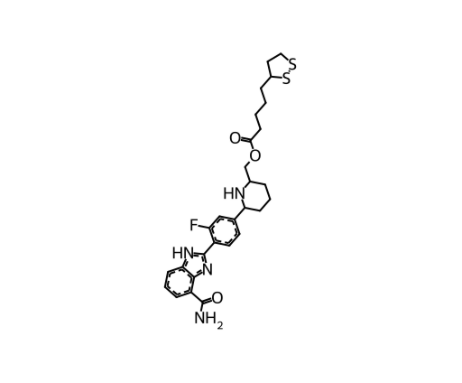 NC(=O)c1cccc2[nH]c(-c3ccc(C4CCCC(COC(=O)CCCCC5CCSS5)N4)cc3F)nc12